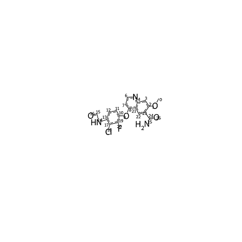 COc1cc2nccc(Oc3ccc(NC=O)c(Cl)c3F)c2cc1C(N)=O